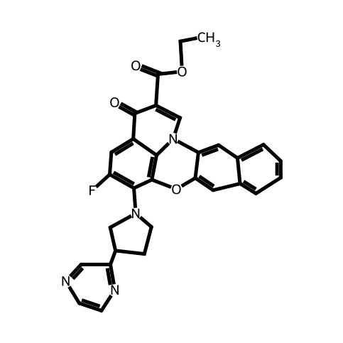 CCOC(=O)c1cn2c3c(c(N4CCC(c5cnccn5)C4)c(F)cc3c1=O)Oc1cc3ccccc3cc1-2